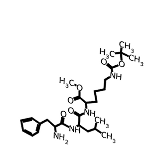 COC(=O)C(CCCCNC(=O)OC(C)(C)C)NC(=O)C(CC(C)C)NC(=O)C(N)Cc1ccccc1